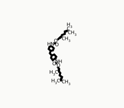 CC(C)=CCC/C(C)=C/COC(=O)NC1CCC(CC2CCC(NC(=O)OC/C=C(\C)CCC=C(C)C)CC2)CC1